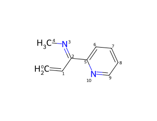 C=C/C(=N\C)c1ccccn1